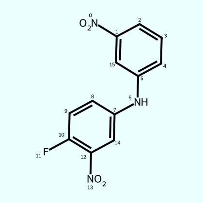 O=[N+]([O-])c1cccc(Nc2ccc(F)c([N+](=O)[O-])c2)c1